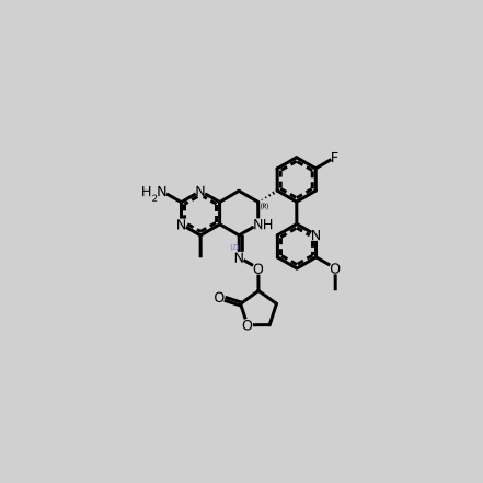 COc1cccc(-c2cc(F)ccc2[C@H]2Cc3nc(N)nc(C)c3/C(=N/OC3CCOC3=O)N2)n1